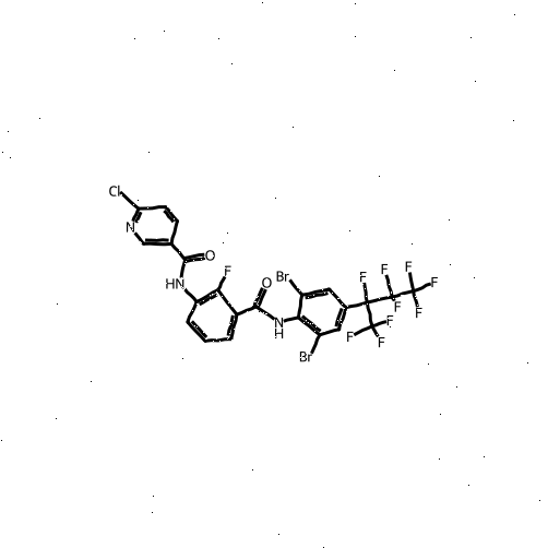 O=C(Nc1cccc(C(=O)Nc2c(Br)cc(C(F)(C(F)(F)F)C(F)(F)C(F)(F)F)cc2Br)c1F)c1ccc(Cl)nc1